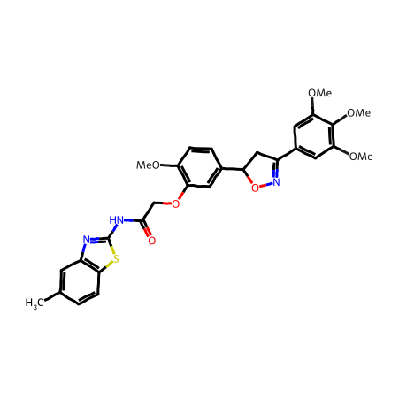 COc1ccc(C2CC(c3cc(OC)c(OC)c(OC)c3)=NO2)cc1OCC(=O)Nc1nc2cc(C)ccc2s1